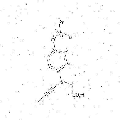 CC#CC(CC(=O)O)c1ccc(O[C@H](C)C(C)C)cc1